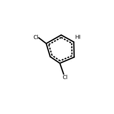 Clc1cccc(Cl)c1.I